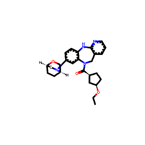 CCO[C@@H]1CC[C@H](C(=O)N2Cc3cccnc3Nc3ccc(N4C[C@H]5CC[C@@H]4CO5)cc32)C1